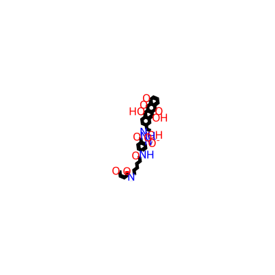 COc1cccc2c1C(=O)c1c(O)c3c(c(O)c1C2=O)CC(/C(CO)=N/NC(=O)c1ccc(NC(=O)CCCCCN(C)C(=O)/C=C\C=O)cc1[N+](=O)[O-])CC3